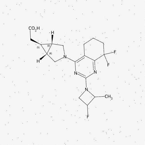 CC1C(F)CN1c1nc(N2C[C@@H]3[C@@H](CC(=O)O)[C@@H]3C2)c2c(n1)C(F)(F)CCC2